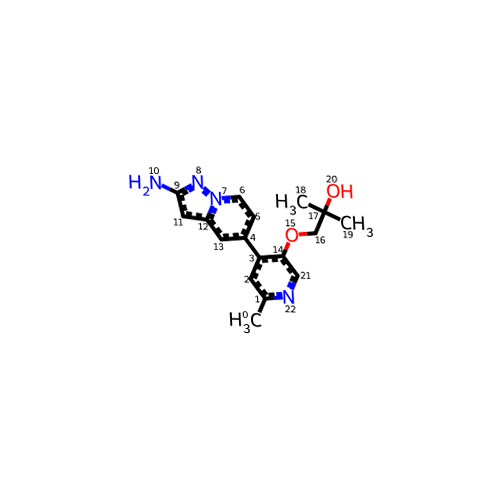 Cc1cc(-c2ccn3nc(N)cc3c2)c(OCC(C)(C)O)cn1